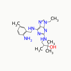 CCn1cnc2c(NCc3cc(C)ccc3N)nc(NCC(C)C(C)(C)O)nc21